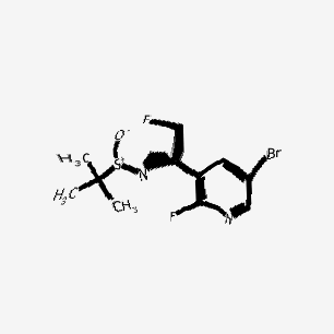 CC(C)(C)[S+]([O-])N=C(CF)c1cc(Br)cnc1F